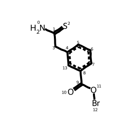 NC(=S)Cc1cccc(C(=O)OBr)c1